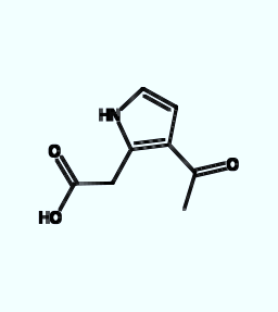 CC(=O)c1cc[nH]c1CC(=O)O